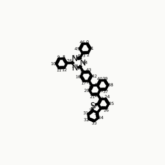 c1ccc(-c2nc(-c3ccccc3)nc(-c3ccc(-c4ccc(-c5cccc6c5sc5ccccc56)c5ccccc45)cc3)n2)cc1